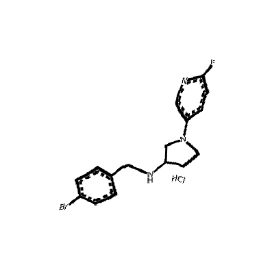 Cl.Fc1ccc(N2CCC(NCc3ccc(Br)cc3)C2)cn1